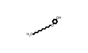 C=CCCCCCCCCCOc1ccc(O)cc1